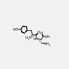 NC[C@H](NC(=O)[C@@H](N)Cc1ccc(O)cc1)C(=O)O